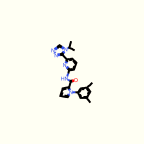 Cc1cc(C)cc(-n2cccc2C(=O)Nc2cccc(-c3nncn3C(C)C)n2)c1